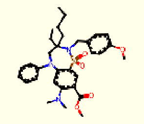 CCCCC1(CC)CN(c2ccccc2)c2cc(N(C)C)c(C(=O)OC)cc2S(=O)(=O)N1Cc1ccc(OC)cc1